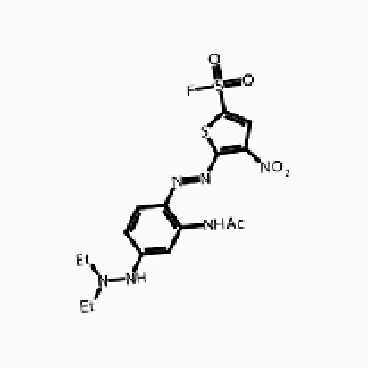 CCN(CC)Nc1ccc(N=Nc2sc(S(=O)(=O)F)cc2[N+](=O)[O-])c(NC(C)=O)c1